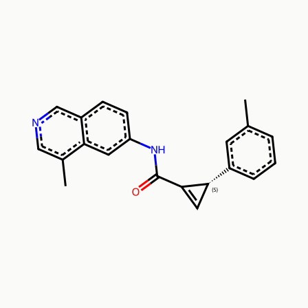 Cc1cccc([C@@H]2C=C2C(=O)Nc2ccc3cncc(C)c3c2)c1